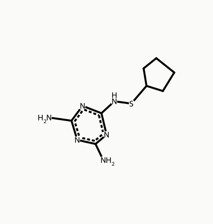 Nc1nc(N)nc(NSC2CCCC2)n1